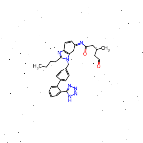 CCCCc1nc2c(n1Cc1ccc(-c3ccccc3-c3nnn[nH]3)cc1)CC(=NC(=O)CC(C)CC=O)C=C2